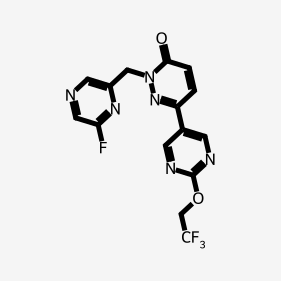 O=c1ccc(-c2cnc(OCC(F)(F)F)nc2)nn1Cc1cncc(F)n1